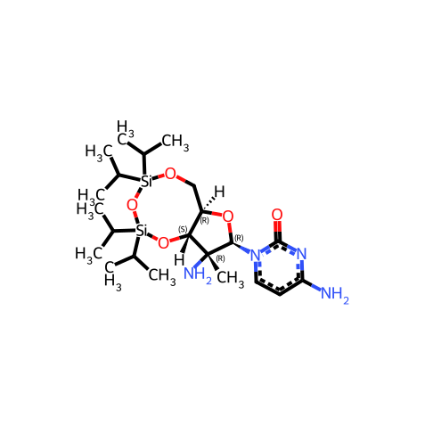 CC(C)[Si]1(C(C)C)OC[C@H]2O[C@@H](n3ccc(N)nc3=O)[C@](C)(N)[C@@H]2O[Si](C(C)C)(C(C)C)O1